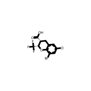 O=C(O)[C@@H]1Cc2cc(Cl)cc(Br)c2O[C@@H]1C(F)(F)F